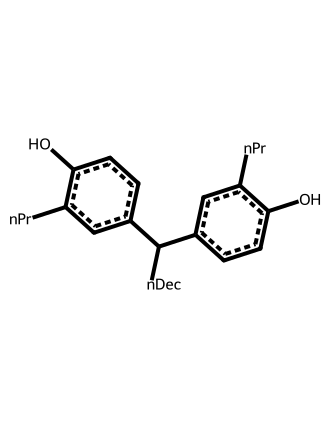 CCCCCCCCCCC(c1ccc(O)c(CCC)c1)c1ccc(O)c(CCC)c1